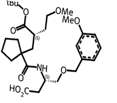 COCC[C@H](CC1(C(=O)N[C@H](COCc2cccc(OC)c2)CC(=O)O)CCCC1)C(=O)OC(C)(C)C